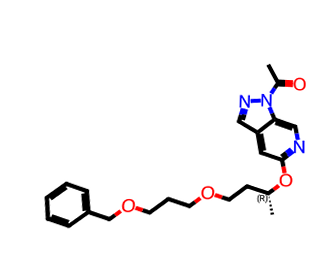 CC(=O)n1ncc2cc(O[C@H](C)CCOCCCOCc3ccccc3)ncc21